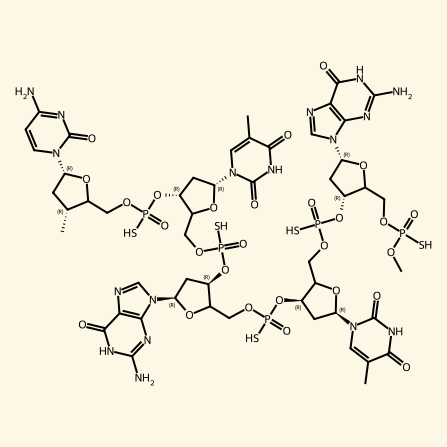 COP(=O)(S)OCC1O[C@@H](n2cnc3c(=O)[nH]c(N)nc32)C[C@H]1OP(=O)(S)OCC1O[C@@H](n2cc(C)c(=O)[nH]c2=O)C[C@H]1OP(=O)(S)OCC1O[C@@H](n2cnc3c(=O)[nH]c(N)nc32)C[C@H]1OP(=O)(S)OCC1O[C@@H](n2cc(C)c(=O)[nH]c2=O)C[C@H]1OP(=O)(S)OCC1O[C@@H](n2ccc(N)nc2=O)C[C@H]1C